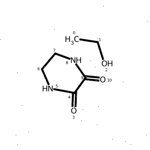 CCO.O=C1NCCNC1=O